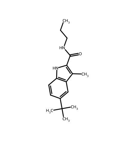 CCCNC(=O)c1[nH]c2ccc(C(C)(C)C)cc2c1C